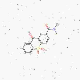 CC(C)N(C)C(=O)c1ccc2c(c1)C(=O)c1ccccc1S2(=O)=O